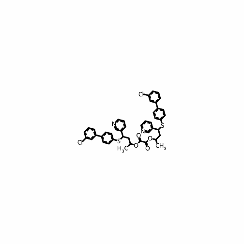 CC(CC(Sc1ccc(-c2cccc(Cl)c2)cc1)c1cccnc1)OC(=O)C(=O)OC(C)CC(Sc1ccc(-c2cccc(Cl)c2)cc1)c1cccnc1